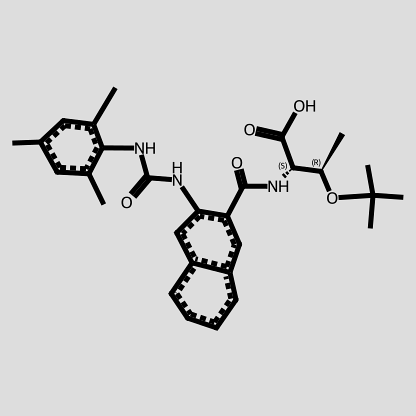 Cc1cc(C)c(NC(=O)Nc2cc3ccccc3cc2C(=O)N[C@H](C(=O)O)[C@@H](C)OC(C)(C)C)c(C)c1